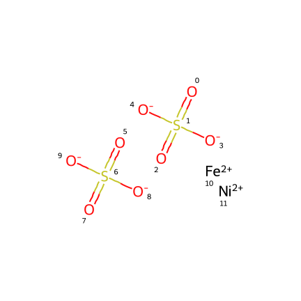 O=S(=O)([O-])[O-].O=S(=O)([O-])[O-].[Fe+2].[Ni+2]